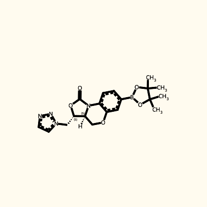 CC1(C)OB(c2ccc3c(c2)OC[C@H]2[C@H](Cn4ccnn4)OC(=O)N32)OC1(C)C